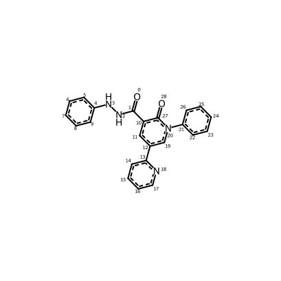 O=C(NNc1ccccc1)c1cc(-c2ccccn2)cn(-c2ccccc2)c1=O